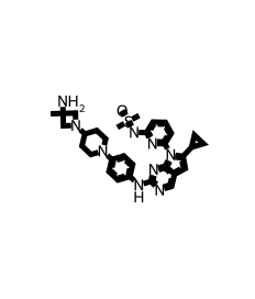 CC1(N)CN(C2CCN(c3ccc(Nc4ncc5cc(C6CC6)n(-c6cccc(N=S(C)(C)=O)n6)c5n4)cc3)CC2)C1